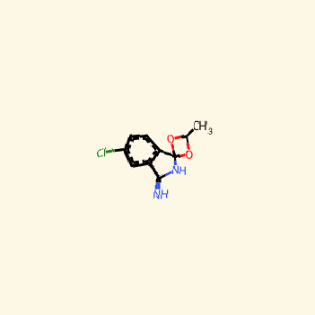 CC1OC2(NC(=N)c3cc(Cl)ccc32)O1